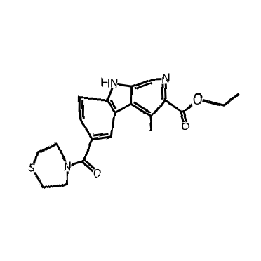 CCOC(=O)c1ncc2[nH]c3ccc(C(=O)N4CCSCC4)cc3c2c1C